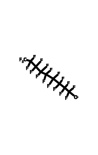 [O]C(F)(F)C(F)(F)C(F)(F)C(F)(F)C(F)(F)C(F)(F)C(F)(F)C(F)(F)C(F)(F)F